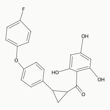 O=C(c1c(O)cc(O)cc1O)C1CC1c1ccc(Oc2ccc(F)cc2)cc1